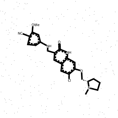 COc1cc(NCc2cc3cc(Cl)c(OC[C@@H]4CCCN4C)cc3[nH]c2=O)ccc1C#N